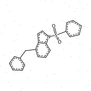 O=S(=O)(c1ccccc1)n1ccc2c(Cc3ccccc3)cccc21